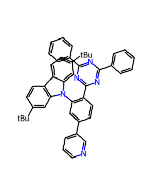 CC(C)(C)c1ccc2c3ccc(C(C)(C)C)cc3n(-c3cc(-c4cccnc4)ccc3-c3nc(-c4ccccc4)nc(-c4ccccc4)n3)c2c1